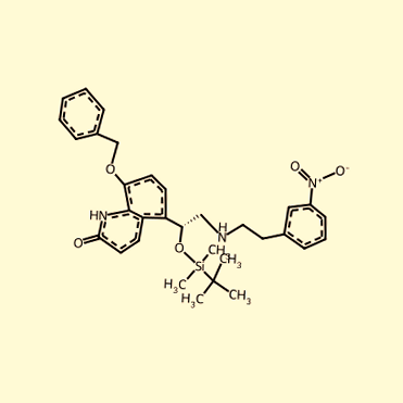 CC(C)(C)[Si](C)(C)O[C@@H](CNCCc1cccc([N+](=O)[O-])c1)c1ccc(OCc2ccccc2)c2[nH]c(=O)ccc12